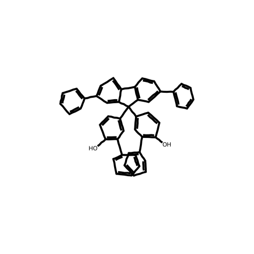 Oc1ccc(C2(c3ccc(O)c(-c4ccccc4)c3)c3cc(-c4ccccc4)ccc3-c3ccc(-c4ccccc4)cc32)cc1-c1ccccc1